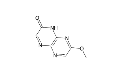 COc1cnc2ncc(=O)[nH]c2n1